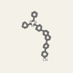 N#Cc1ccc(-c2ccc(-c3ccc4ccc(-c5ccc(-c6nc(-c7ccccc7)nc(-c7ccccc7)n6)cc5)cc4c3)cc2)cc1